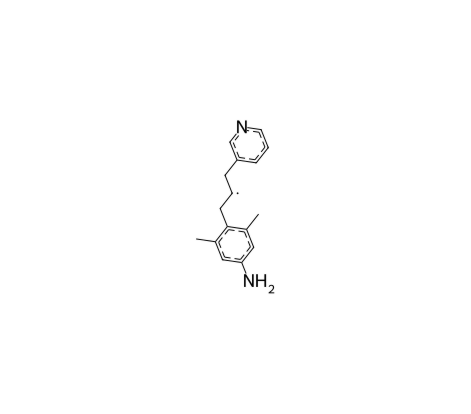 Cc1cc(N)cc(C)c1C[CH]Cc1cccnc1